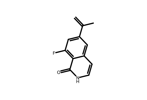 C=C(C)c1cc(F)c2c(=O)[nH]ccc2c1